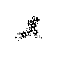 CCc1cc(NC(=O)C(=O)N2C[C@@H](C)CCC2c2cc(F)c3c(c2)OC2(CC2)C(=O)N3)cnc1N